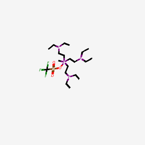 CCP(CC)CCP(C)(CCP(CC)CC)(CCP(CC)CC)OS(=O)(=O)C(F)(F)F